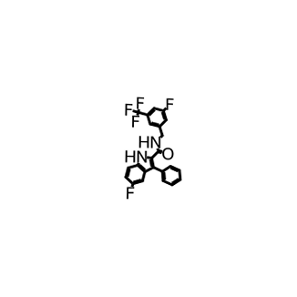 O=C(NCc1cc(F)cc(C(F)(F)F)c1)c1[nH]c2ccc(F)cc2c1-c1ccccc1